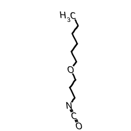 CCCCCCOCCCN=C=O